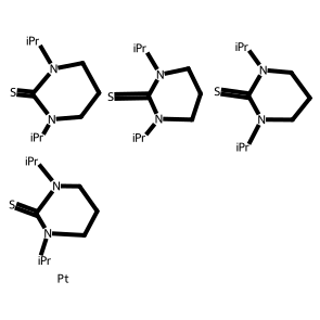 CC(C)N1CCCN(C(C)C)C1=S.CC(C)N1CCCN(C(C)C)C1=S.CC(C)N1CCCN(C(C)C)C1=S.CC(C)N1CCCN(C(C)C)C1=S.[Pt]